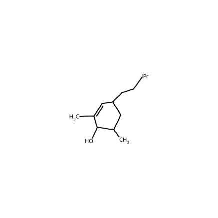 CC1=CC(CCC(C)C)CC(C)C1O